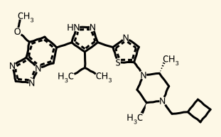 COc1cc(-c2[nH]nc(-c3ncc(N4C[C@H](C)N(CC5CCC5)C[C@H]4C)s3)c2C(C)C)cn2ncnc12